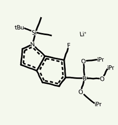 CC(C)O[B-](OC(C)C)(OC(C)C)c1ccc2ccn([Si](C)(C)C(C)(C)C)c2c1F.[Li+]